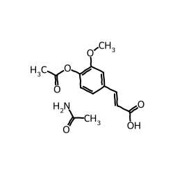 CC(N)=O.COc1cc(C=CC(=O)O)ccc1OC(C)=O